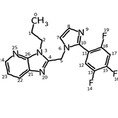 CCCn1c(Cn2ccnc2-c2cc(F)c(F)cc2F)nc2cccnc21